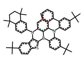 Cc1cc2c3c(c1)N(c1ccc4c(c1)C(C)(C)CCC4(C)C)c1c(sc4ccc(C(C)(C)C)cc14)B3c1ccc(C(C)(C)C)cc1N2c1ccc(C(C)(C)C)cc1-c1ccccc1